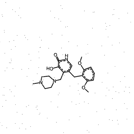 COc1cccc(OC)c1Cc1c[nH]c(=O)c(O)c1CN1CCN(C)CC1